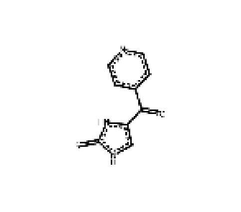 O=C(c1ccncc1)c1c[nH]c(=S)[nH]1